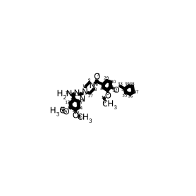 CCOc1cc(C(=O)N2CCN(c3nc(N)c4cc(OC)c(OC)cc4n3)CC2)ccc1OCc1ccccc1